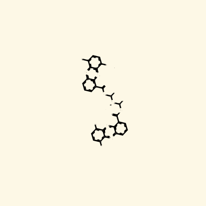 CCC(NC(=O)c1cccc2nc3c(Cl)ccc(C)c3nc12)N(C)C(CC)NC(=O)c1cccc2nc3c(Cl)ccc(C)c3nc12